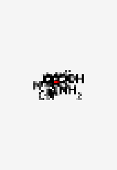 C[C@@H]1C[C@@]2(Cc3ccc(C#N)cc3[C@]23N=C(N)N(CC(C)(C)Cl)C3=O)C[C@H](C)[C@H]1O